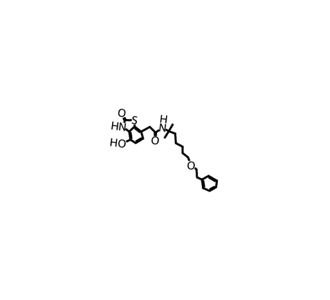 CC(C)(CCCCCOCCc1ccccc1)NC(=O)Cc1ccc(O)c2[nH]c(=O)sc12